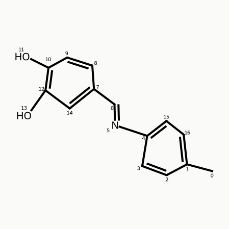 Cc1ccc(/N=C/c2ccc(O)c(O)c2)cc1